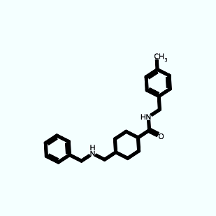 Cc1ccc(CNC(=O)C2CCC(CNCc3ccccc3)CC2)cc1